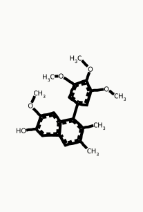 COc1cc2c(-c3cc(OC)c(OC)c(OC)c3)c(C)c(C)cc2cc1O